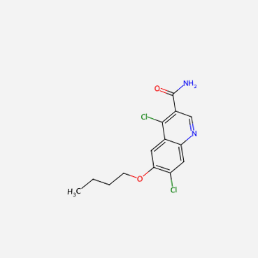 CCCCOc1cc2c(Cl)c(C(N)=O)cnc2cc1Cl